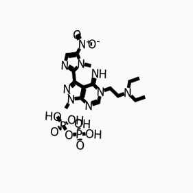 CCN(CC)CCn1cnc2c(c(-c3ncc([N+](=O)[O-])n3C)nn2C)c1=N.O=P(O)(O)OP(=O)(O)O